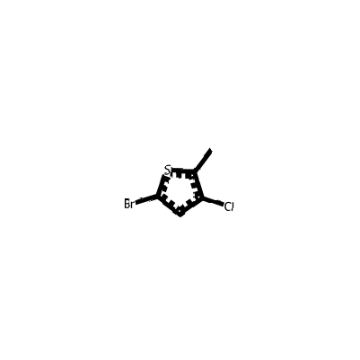 Cc1sc(Br)cc1Cl